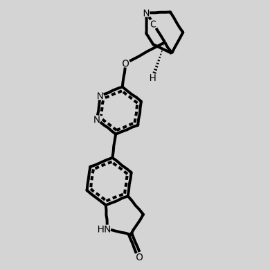 O=C1Cc2cc(-c3ccc(O[C@H]4CN5CCC4CC5)nn3)ccc2N1